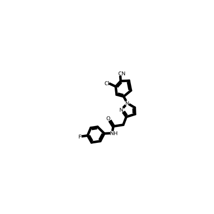 N#Cc1ccc(-n2ccc(CC(=O)Nc3ccc(F)cc3)n2)cc1Cl